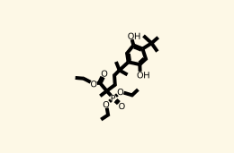 CCOC(=O)C(C)(CCC(C)(C)c1cc(O)c(C(C)(C)C)cc1O)P(=O)(OCC)OCC